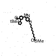 COC(=O)CCCCCCCCCCOc1ccc2c(-c3ccc(C(=O)OC(C)(C)C)c(C4CCCC4)c3)ncnc2c1